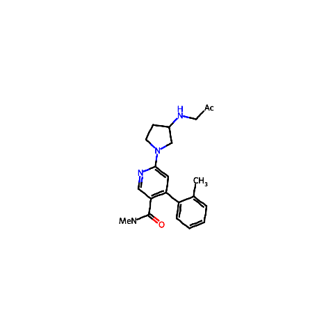 CNC(=O)c1cnc(N2CCC(NCC(C)=O)C2)cc1-c1ccccc1C